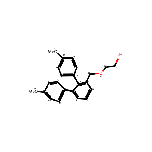 COc1ccc(-c2cccc(COCCO)c2-c2ccc(OC)cc2)cc1